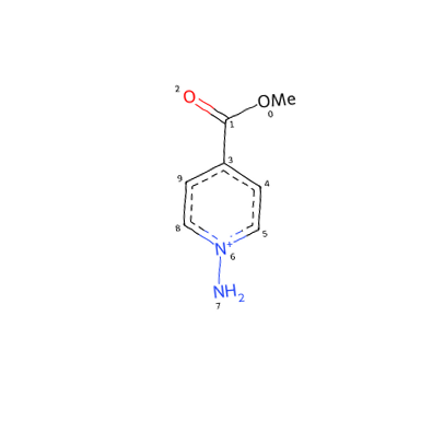 COC(=O)c1cc[n+](N)cc1